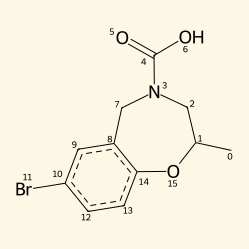 CC1CN(C(=O)O)Cc2cc(Br)ccc2O1